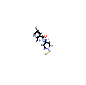 Cc1ncc(Cl)cc1C(=O)NC1(C)CCN(SS)CC1